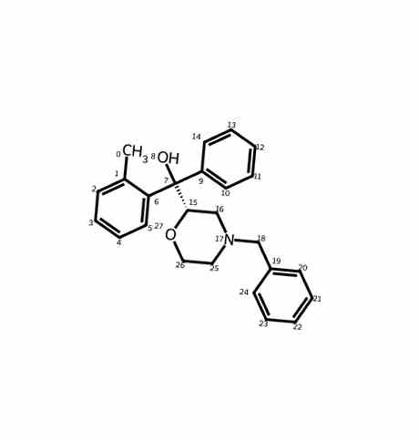 Cc1ccccc1C(O)(c1ccccc1)[C@@H]1CN(Cc2ccccc2)CCO1